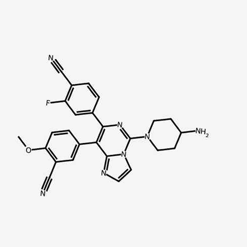 COc1ccc(-c2c(-c3ccc(C#N)c(F)c3)nc(N3CCC(N)CC3)n3ccnc23)cc1C#N